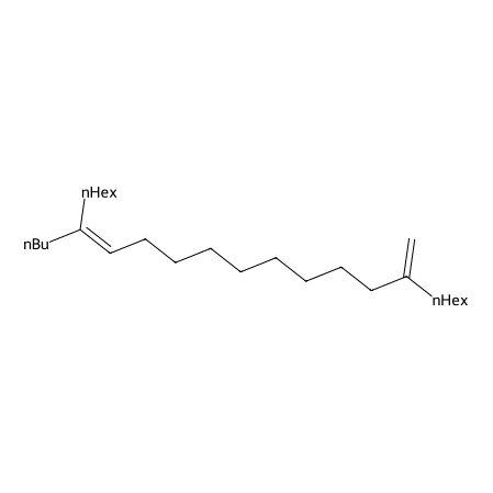 C=C(CCCCCC)CCCCCCCCC=C(CCCC)CCCCCC